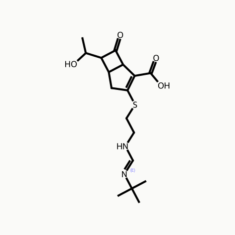 CC(O)C1C(=O)C2C(C(=O)O)=C(SCCN/C=N/C(C)(C)C)CC21